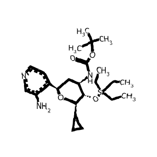 CC[Si](CC)(CC)O[C@@H]1[C@@H](C2CC2)O[C@@H](c2ccncc2N)C[C@H]1NC(=O)OC(C)(C)C